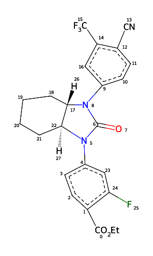 CCOC(=O)c1ccc(N2C(=O)N(c3ccc(C#N)c(C(F)(F)F)c3)[C@H]3CCCC[C@@H]32)cc1F